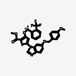 COC(=O)c1sc(-n2cnc3ccc(OCc4ccc(OC)cc4)cc32)cc1O[C@H](C)c1ccccc1C(F)(F)F